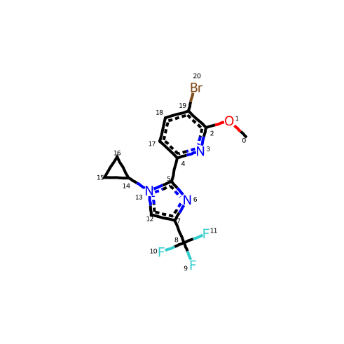 COc1nc(-c2nc(C(F)(F)F)cn2C2CC2)ccc1Br